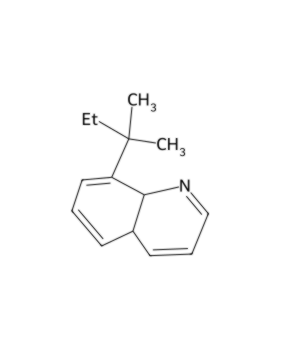 CCC(C)(C)C1=CC=CC2C=CC=NC12